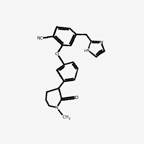 CN1CCCC(c2cccc(Oc3cc(Cc4ncc[nH]4)ccc3C#N)c2)C1=O